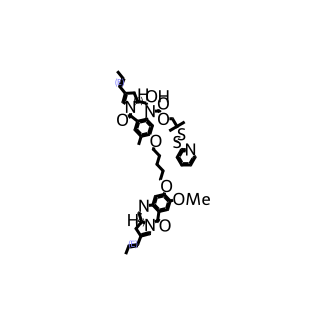 C/C=C/C1=CN2C(=O)c3cc(OC)c(OCCCCCOc4cc5c(cc4C)C(=O)N4C=C(/C=C/C)C[C@H]4C(O)N5C(=O)OCC(C)(C)SSc4ccccn4)cc3N=C[C@@H]2C1